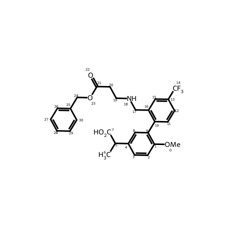 COc1ccc(C(C)C(=O)O)cc1-c1ccc(C(F)(F)F)cc1CNCCC(=O)OCc1ccccc1